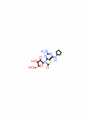 Nc1nc(NC2CCCC2)c2sc(=O)n([C@@H]3O[C@H](CO)[C@@H](O)C3=O)c2n1